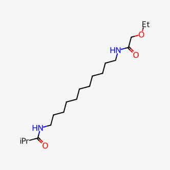 CCOCC(=O)NCCCCCCCCCCCNC(=O)C(C)C